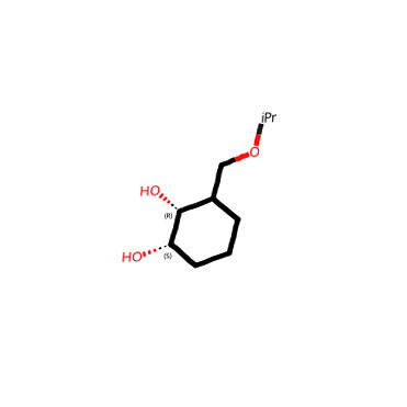 CC(C)OCC1CCC[C@H](O)[C@@H]1O